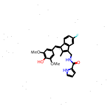 COc1cc(C=C2C(C)=C(CNC(=O)c3ccc[nH]3)c3cc(F)ccc32)cc(OC)c1O